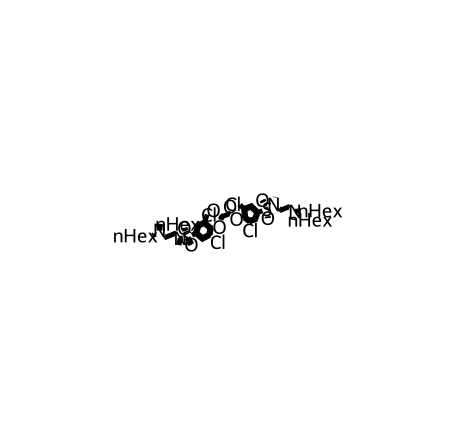 CCCCCCN(CCCCCC)CCN(C)S(=O)(=O)c1cc(Cl)c(OC(=O)C(=O)Oc2c(Cl)cc(S(=O)(=O)N(C)CCN(CCCCCC)CCCCCC)cc2Cl)c(Cl)c1